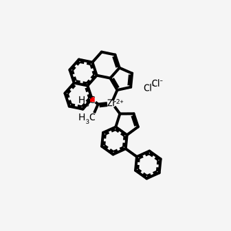 C[C](C)=[Zr+2]([C]1=C2C(=CCc3ccc4ccccc4c32)C=C1)[CH]1C=Cc2c(-c3ccccc3)cccc21.[Cl-].[Cl-]